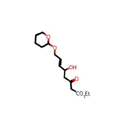 CCOC(=O)CC(=O)CC(O)/C=C/COC1CCCCO1